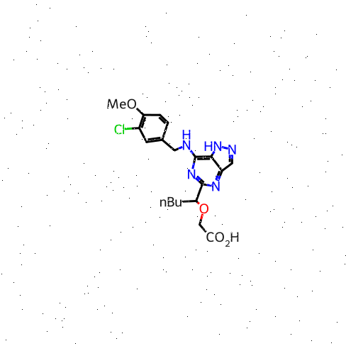 CCCCC(OCC(=O)O)c1nc(NCc2ccc(OC)c(Cl)c2)c2[nH]ncc2n1